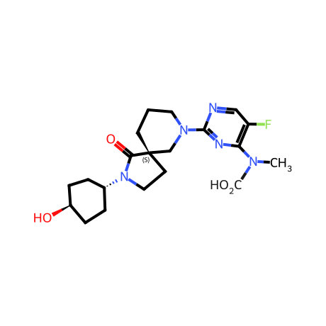 CN(C(=O)O)c1nc(N2CCC[C@]3(CCN([C@H]4CC[C@H](O)CC4)C3=O)C2)ncc1F